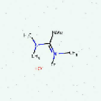 CC[N+](C)=C(NC)N(C)C.[OH-]